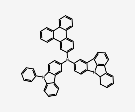 C1=CCC2C(=C1)c1cccc3c4cc(N(c5ccc6c7ccccc7c7ccccc7c6c5)c5ccc6c(c5)c5ccccc5n6-c5ccccc5)ccc4n2c13